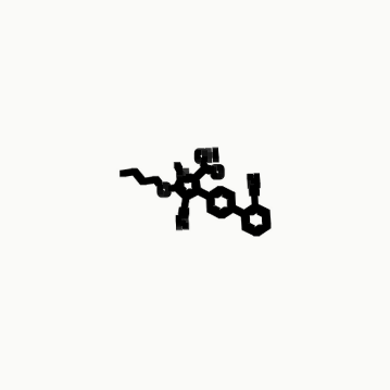 CCCCOc1c(C#N)c(-c2ccc(-c3ccccc3C#N)cc2)c(C(=O)O)n1C